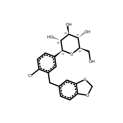 OC[C@H]1O[C@@H](c2ccc(Cl)c(Cc3ccc4c(c3)SCO4)c2)[C@H](O)[C@@H](O)[C@@H]1O